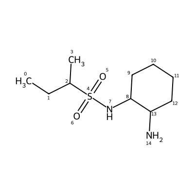 CCC(C)S(=O)(=O)NC1CCCCC1N